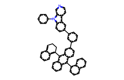 C1=c2ccccc2=C(c2c3ccccc3c(-c3cccc4ccccc34)c3ccc(-c4cccc(-c5ccc6c(c5)c5ccncc5n6-c5ccccc5)c4)cc23)CC1